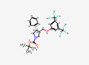 CC(C)(C)OC(=O)N1C[C@H](COc2cc(C(F)(F)F)cc(C(F)(F)F)c2)[C@@H](c2ccccc2)C1